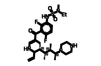 C=CC1NC=C(C(=O)c2c(F)ccc(NS(=O)(=O)N(C)CC)c2F)C[C@@H]1[C@@H](C)[C@@H](C)[C@H](C)N1CCNCC1